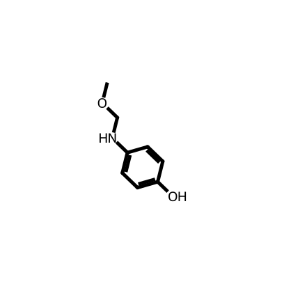 COCNc1ccc(O)cc1